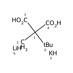 CC(C)(C)C(C)(C(=O)O)C(=O)O.[KH].[LiH]